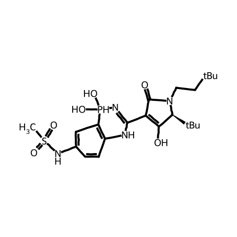 CC(C)(C)CCN1C(=O)C(C2=N[PH](O)(O)c3cc(NS(C)(=O)=O)ccc3N2)=C(O)[C@@H]1C(C)(C)C